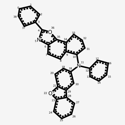 c1ccc(-c2nc3ccc4c(N(c5ccccc5)c5ccc6oc7ccccc7c6c5)cccc4c3o2)cc1